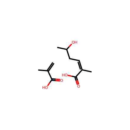 C=C(C)C(=O)O.CC(=CCC(C)O)C(=O)O